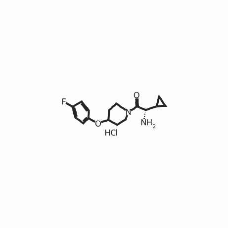 Cl.N[C@H](C(=O)N1CCC(Oc2ccc(F)cc2)CC1)C1CC1